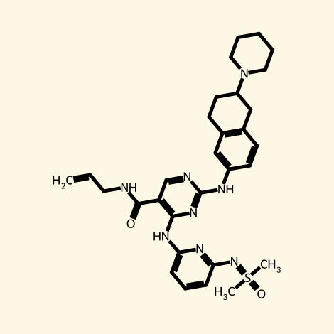 C=CCNC(=O)c1cnc(Nc2ccc3c(c2)CCC(N2CCCCC2)C3)nc1Nc1cccc(N=S(C)(C)=O)n1